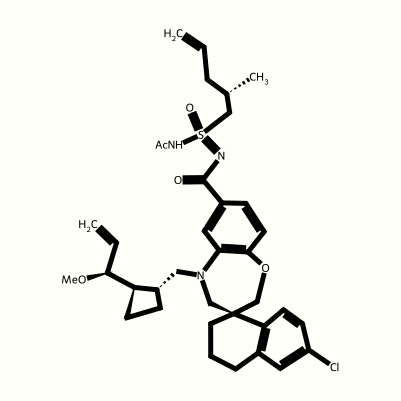 C=CC[C@H](C)CS(=O)(=NC(=O)c1ccc2c(c1)N(C[C@@H]1CC[C@H]1[C@H](C=C)OC)C[C@@]1(CCCc3cc(Cl)ccc31)CO2)NC(C)=O